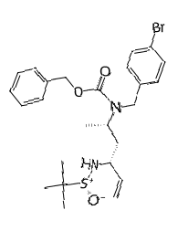 C=C[C@@H](C[C@H](C)N(Cc1ccc(Br)cc1)C(=O)OCc1ccccc1)N[S@+]([O-])C(C)(C)C